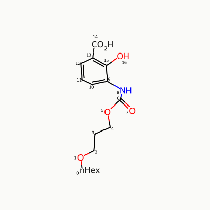 CCCCCCOCCCOC(=O)Nc1cccc(C(=O)O)c1O